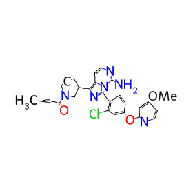 CC#CC(=O)N1CCCC(c2nc(-c3ccc(Oc4cc(OC)ccn4)cc3Cl)n3c(N)nccc23)C1